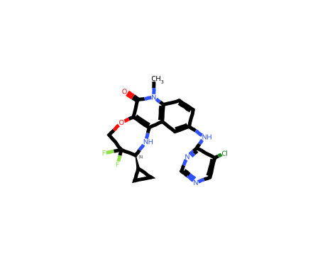 Cn1c(=O)c2c(c3cc(Nc4ncncc4Cl)ccc31)N[C@@H](C1CC1)C(F)(F)CO2